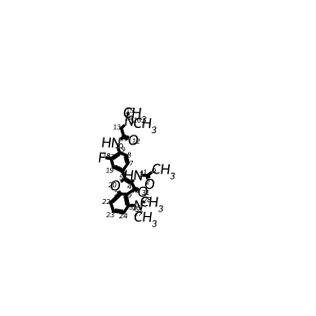 CC(=O)Nc1c(-c2ccc(NC(=O)CN(C)C)c(F)c2)oc2cccc(N(C)C)c2c1=O